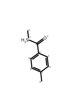 C[SiH2]C(=O)c1ccc(C)cc1